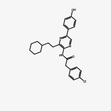 O=C(Cc1ccc(Cl)cc1)Nc1ncc(-c2ccc(O)cc2)nc1CCC1CCCCC1